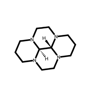 C1CN2CCN3CCCN4CCN(C1)[C@H]2[C@@H]34